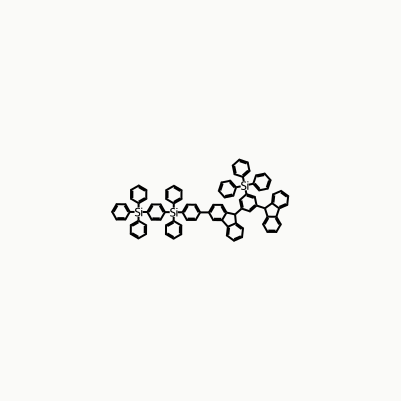 c1ccc([Si](c2ccccc2)(c2ccccc2)c2ccc([Si](c3ccccc3)(c3ccccc3)c3ccc(-c4ccc5c(c4)-c4ccccc4C5c4cc(C5c6ccccc6-c6ccccc65)cc([Si](c5ccccc5)(c5ccccc5)c5ccccc5)c4)cc3)cc2)cc1